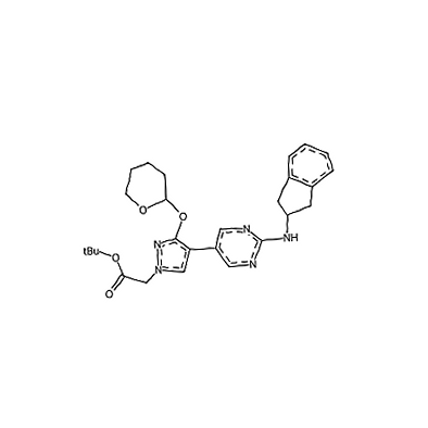 CC(C)(C)OC(=O)Cn1cc(-c2cnc(NC3Cc4ccccc4C3)nc2)c(OC2CCCCO2)n1